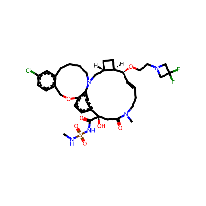 CNS(=O)(=O)NC(=O)[C@@]1(O)CC(=O)N(C)CC/C=C/[C@H](OCCN2CC(F)(F)C2)[C@@H]2CC[C@H]2CN2CCCCc3cc(Cl)ccc3COc3ccc1cc32